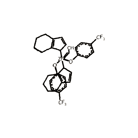 C[CH]=[Zr]([O]c1ccc(C(F)(F)F)cc1)([O]c1ccc(C(F)(F)F)cc1)([CH]1C=CC2=C1CCCC2)[CH]1C=CC2=C1CCCC2